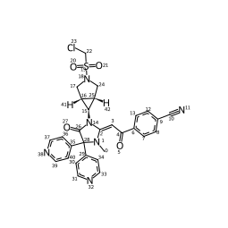 CN1C(=CC(=O)c2ccc(C#N)cc2)N([C@H]2[C@@H]3CN(S(=O)(=O)CCl)C[C@@H]32)C(=O)C1(c1ccncc1)c1ccncc1